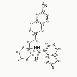 N#Cc1ccc2c(c1)CCN(CCC1(NC(=O)c3cccc4cocc34)CCCCC1)C2